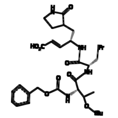 CC(C)C[C@H](NC(=O)[C@@H](NC(=O)OCc1ccccc1)C(C)OC(C)(C)C)C(=O)N[C@H](/C=C/C(=O)O)CC1CCNC1=O